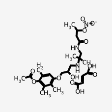 CC(=O)Oc1c(C)cc(OCC(O)CNC(C)(C)CNC(=O)CC(C)O[N+](=O)[O-])c(C)c1C.O=C(O)C=CC(=O)O